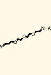 CC(=O)NCCOCCOCCOCCCC(C)C